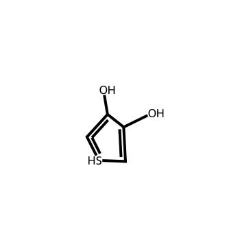 OC1=C=[SH]C=C1O